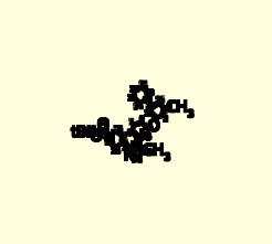 Cc1cc(Oc2cccc(-c3c(C)nnn3C3CCN(C(=O)OC(C)(C)C)CC3)n2)cc(C2CCCCC2)c1